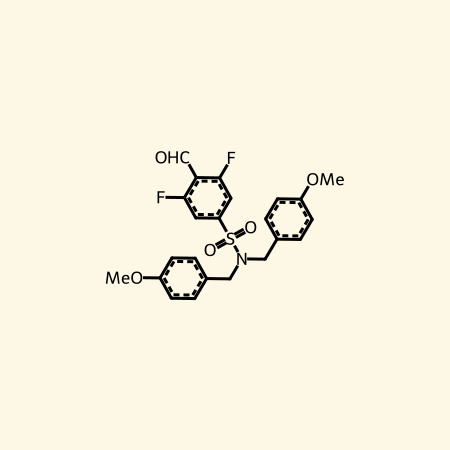 COc1ccc(CN(Cc2ccc(OC)cc2)S(=O)(=O)c2cc(F)c(C=O)c(F)c2)cc1